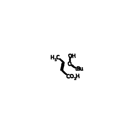 C/C=C/C(=O)O.CC(C)(C)OO